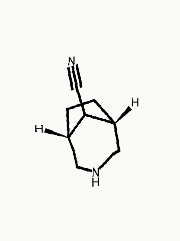 N#CC1[C@@H]2CC[C@H]1CNC2